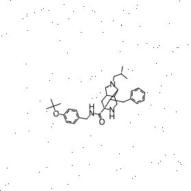 CC(C)CN1CC2CC3(C(=O)NCc4ccc(OC(C)(C)C)cc4)NCC2C1C3Cc1ccccc1